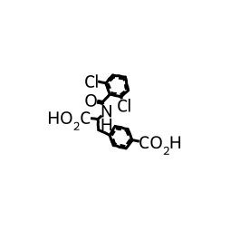 O=C(O)c1ccc(CC(NC(=O)c2c(Cl)cccc2Cl)C(=O)O)cc1